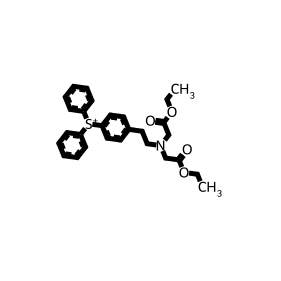 CCOC(=O)CN(CCc1ccc([S+](c2ccccc2)c2ccccc2)cc1)CC(=O)OCC